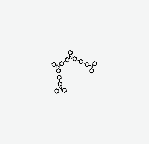 c1ccc(N(c2ccccc2)c2ccc(-c3ccc(-c4ccc(N(c5ccccc5)c5ccc(-c6ccc(N(c7ccccc7)c7ccc(-c8ccc(-c9ccc(N(c%10ccccc%10)c%10ccccc%10)cc9)cc8)cc7)cc6)cc5)cc4)cc3)cc2)cc1